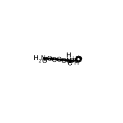 NC(=O)CCOCCOCCOCCOCCNC(=O)OC[C@@H]1[C@@H]2CCC#CCC[C@@H]21